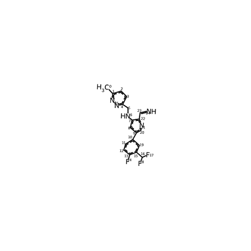 Cc1ccc(CNc2cc(-c3ccc(F)c(C(F)F)c3)cnc2C=N)nn1